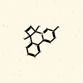 Cc1ccc2[n+](c1)C1(C)C=CC1(C)c1ccccc1-2